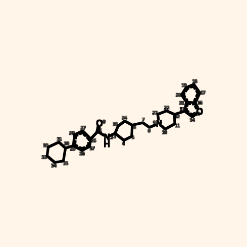 O=C(NC1CCC(CCN2CCC(c3coc4ccccc34)CC2)CC1)c1ccc(C2CCCCC2)cc1